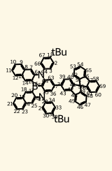 CC(C)(C)c1ccc(N2c3cc4ccccc4cc3B3c4cc5ccccc5cc4N(c4ccc(C(C)(C)C)cc4)c4cc(-c5ccc6c(c5)-c5ccccc5C65c6ccccc6-c6ccccc65)cc2c43)cc1